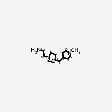 CN1CCC(CN2CCN(CCN)CC2)CC1